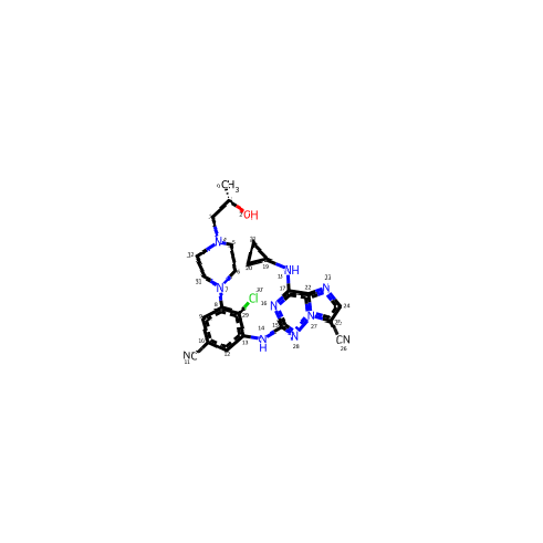 C[C@H](O)CN1CCN(c2cc(C#N)cc(Nc3nc(NC4CC4)c4ncc(C#N)n4n3)c2Cl)CC1